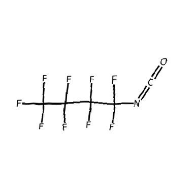 O=C=NC(F)(F)C(F)(F)C(F)(F)C(F)(F)F